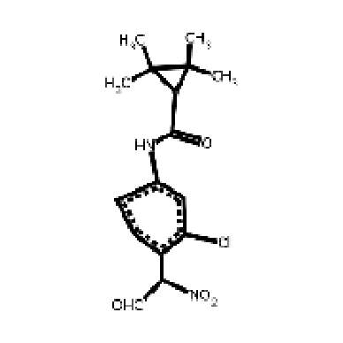 CC1(C)C(C(=O)Nc2ccc(C(C=O)[N+](=O)[O-])c(Cl)c2)C1(C)C